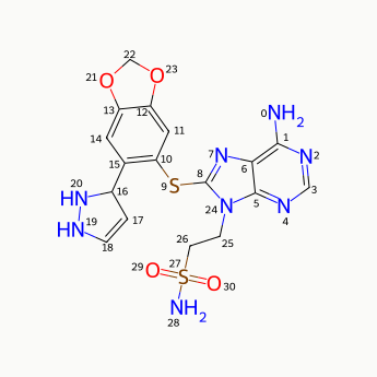 Nc1ncnc2c1nc(Sc1cc3c(cc1C1C=CNN1)OCO3)n2CCS(N)(=O)=O